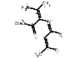 CC\C(C)=C/C(Br)=N\C(C(=O)OC)=C(/C)N